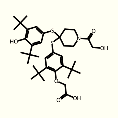 CC(C)(C)c1cc(SC2(Sc3cc(C(C)(C)C)c(OCC(=O)O)c(C(C)(C)C)c3)CCN(C(=O)CO)CC2)cc(C(C)(C)C)c1O